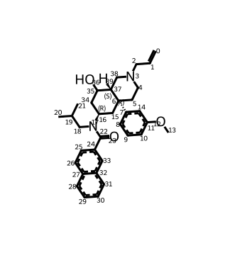 C=CCN1CC[C@@]2(c3cccc(OC)c3)C[C@@H](N(CC(C)C)C(=O)c3ccc4ccccc4c3)CC(O)[C@@H]2C1